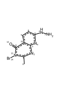 Cc1nc2nc(NN)ccc2c(=O)n1Br